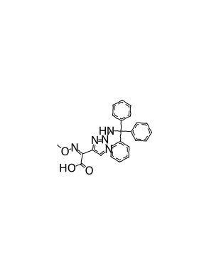 CON=C(C(=O)O)c1cnn(NC(c2ccccc2)(c2ccccc2)c2ccccc2)n1